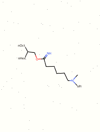 CCCCCCCCC(CCCCCC)COC(=N)CCCCCN(C)CCC